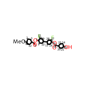 COc1ccc(C(=O)Oc2ccc(-c3ccc(OC(=O)c4ccc(O)cc4)c(F)c3)cc2F)cc1